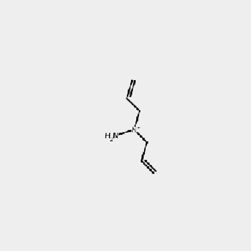 C=CC[N+](N)CC=C